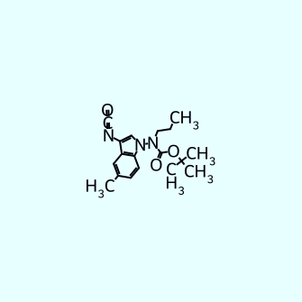 CCCN(C(=O)OC(C)(C)C)n1cc(N=C=O)c2cc(C)ccc21